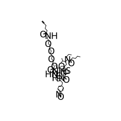 C#CCCCC(=O)NCCOCCOCCOCCOC(=O)NNC(=O)[C@@H](C)CC(Cc1ccc(N=O)cc1)NC(=O)c1csc(C(CC(C(C)C)N(CCC)C(=O)CCCC)OCCC)n1